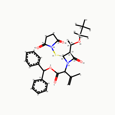 C=C(C)C(C(=O)OC(c1ccccc1)c1ccccc1)N1C(=O)[C@H]([C@@H](C)O[Si](C)(C)C(C)(C)C)[C@H]1SN1C(=O)CCC1=O